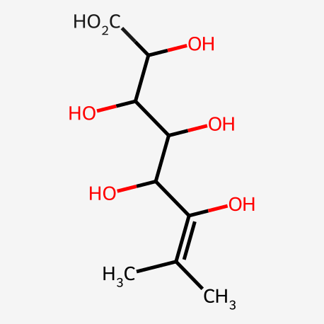 CC(C)=C(O)C(O)C(O)C(O)C(O)C(=O)O